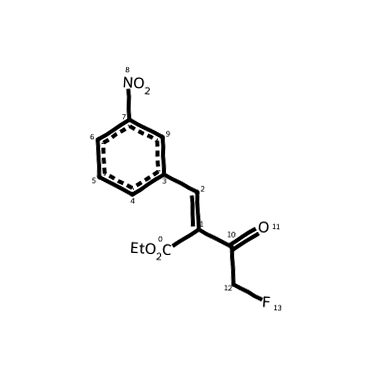 CCOC(=O)/C(=C\c1cccc([N+](=O)[O-])c1)C(=O)CF